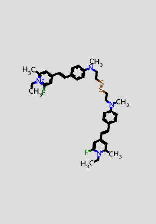 CCN1C(F)=CC(/C=C/c2ccc(N(C)CCSSCCN(C)c3ccc(/C=C/c4cc(C)[n+](CC)c(F)c4)cc3)cc2)=CC1C